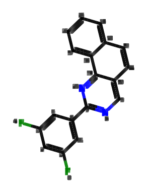 Fc1cc(F)cc(-c2ncc3ccc4ccccc4c3n2)c1